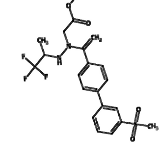 C=C(c1ccc(-c2cccc(S(C)(=O)=O)c2)cc1)N(CC(=O)OC)NC(C)C(F)(F)F